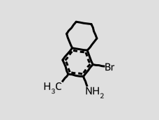 Cc1cc2c(c(Br)c1N)CCCC2